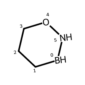 B1CCCON1